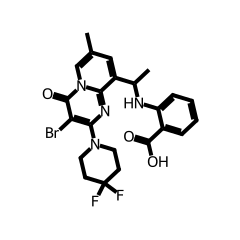 Cc1cc(C(C)Nc2ccccc2C(=O)O)c2nc(N3CCC(F)(F)CC3)c(Br)c(=O)n2c1